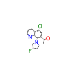 CC(=O)c1cc(Cl)c2cccnc2c1N1CC[C@H](F)C1